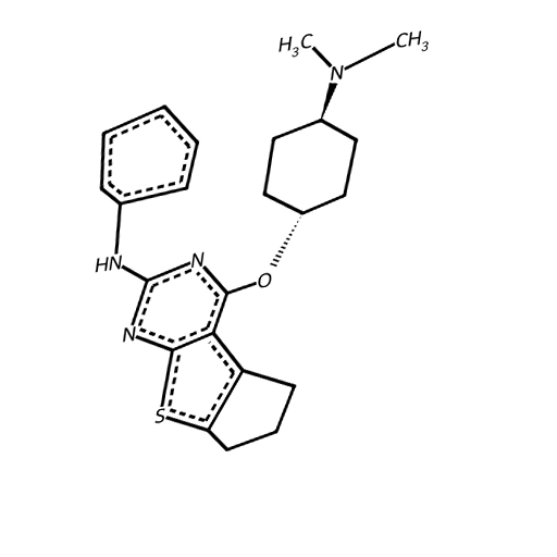 CN(C)[C@H]1CC[C@H](Oc2nc(Nc3ccccc3)nc3sc4c(c23)CCC4)CC1